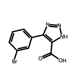 O=C(O)c1[nH]nnc1-c1cccc(Br)c1